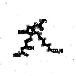 CCCC[C@@H](C)C[C@H](O)C=C[C@@H]1C(SCCCCCC(=O)O)=C(OC(=O)C(C)C)C[C@H]1O